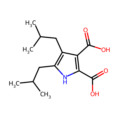 CC(C)Cc1[nH]c(C(=O)O)c(C(=O)O)c1CC(C)C